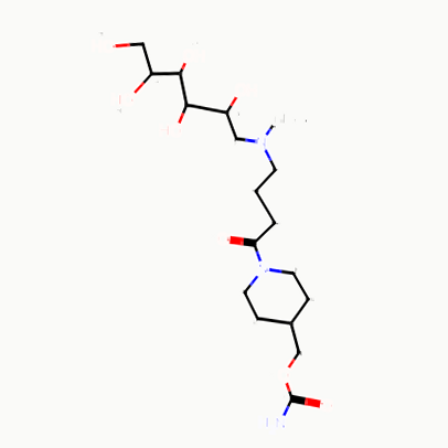 CCCCCCN(CCCC(=O)N1CCC(COC(N)=O)CC1)CC(O)C(O)C(O)C(O)CO